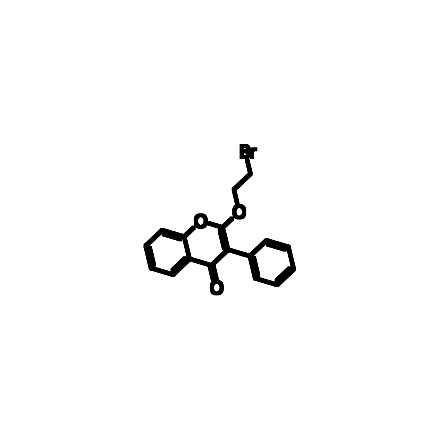 O=c1c(-c2ccccc2)c(OCCBr)oc2ccccc12